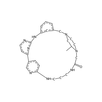 CC1CN2CCN1CC(=O)NCCCNc1ccc(cn1)-c1ccnc(n1)Nc1cccc(c1)C2